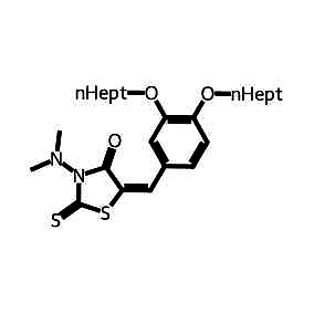 CCCCCCCOc1ccc(C=C2SC(=S)N(N(C)C)C2=O)cc1OCCCCCCC